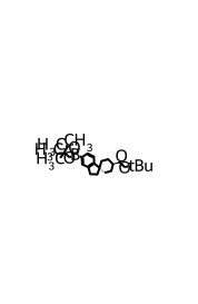 CC(C)(C)OC(=O)[C@H]1CC[C@@]2(CCc3cc(B4OC(C)(C)C(C)(C)O4)ccc32)CC1